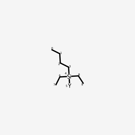 CCCC[Si]([Y])(CC)CC